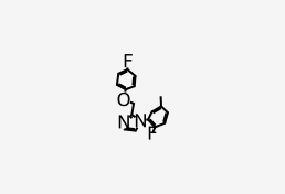 Cc1ccc(F)c(-n2ccnc2COc2ccc(F)cc2)c1